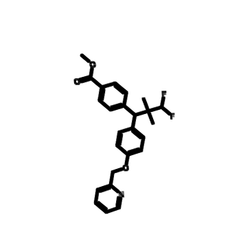 COC(=O)c1ccc(C(c2ccc(OCc3ccccn3)cc2)C(C)(C)C(F)F)cc1